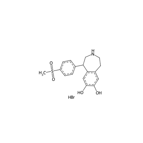 Br.CS(=O)(=O)c1ccc(C2CNCCc3cc(O)c(O)cc32)cc1